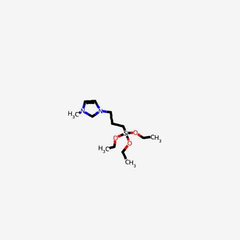 CCO[Si](CCCN1C=CN(C)C1)(OCC)OCC